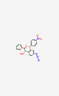 [N-]=[N+]=Nc1ccc(C(O)C(=O)c2ccccc2)c(Sc2ccc([N+](=O)[O-])cc2)c1